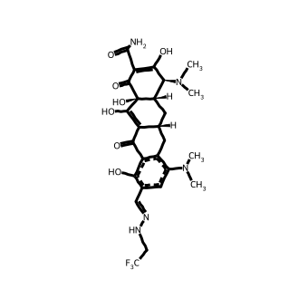 CN(C)c1cc(/C=N/NCC(F)(F)F)c(O)c2c1C[C@H]1C[C@H]3[C@H](N(C)C)C(O)=C(C(N)=O)C(=O)[C@@]3(O)C(O)=C1C2=O